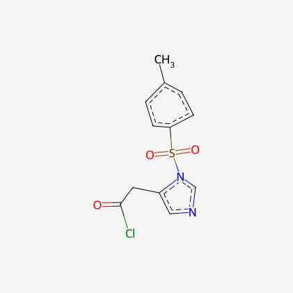 Cc1ccc(S(=O)(=O)n2cncc2CC(=O)Cl)cc1